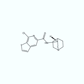 O=C(N[C@H]1CN2CCC1CC2)c1cc2ccsc2c(Cl)n1